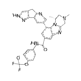 C[C@@H]1CN(C)Cc2nc3cc(C(=O)Nc4ccc(OC(F)(F)Cl)cc4)cc(-c4cnc5c(c4)-c4n[nH]cc4C5)c3n21